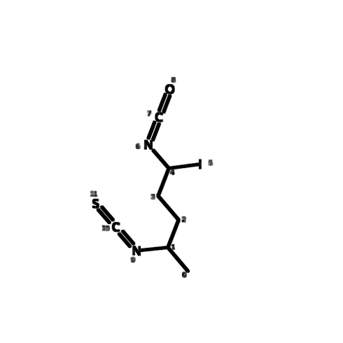 CC(CCC(I)N=C=O)N=C=S